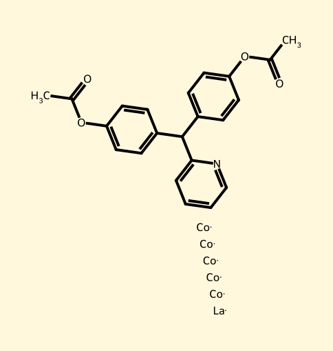 CC(=O)Oc1ccc(C(c2ccc(OC(C)=O)cc2)c2ccccn2)cc1.[Co].[Co].[Co].[Co].[Co].[La]